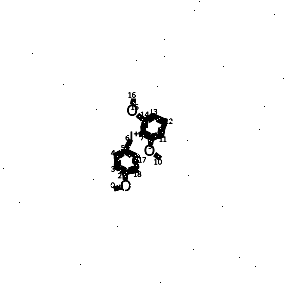 COc1ccc([I+]c2c(OC)cccc2OC)cc1